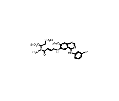 CCOC(=O)CC(C(=O)OCC)N(C)C(=O)C=CCNc1cc2c(Nc3cccc(Br)c3)ncnc2cc1OC